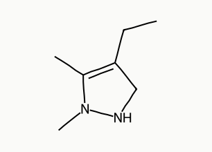 CCC1=C(C)N(C)NC1